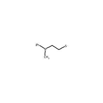 CC(C)N(C)CC[S]